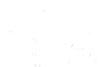 CNC(CCCCNCC1O[C@@H]2OC3C(CO)O[C@H](OCCCCC1[C@@H](O)[C@@H]2O)[C@@H](O)[C@@H]3O)C(=O)NC(CCCCN)C(=O)NCCOCCOC